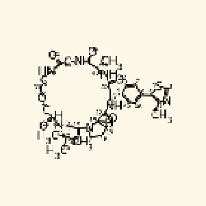 Cc1ncsc1-c1ccc([C@@H]2NC(=O)[C@@H]3CCCN3C(=O)[C@H](C(C)(C)C)NC(=O)COCCNC(=O)CNC(=O)[C@H](C)NC2=O)cc1